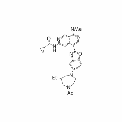 CCC1CN(C(C)=O)CCN(c2ccc3oc(-c4cnc(NC)c5cnc(NC(=O)C6CC6)cc45)nc3c2)C1